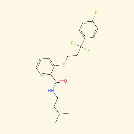 CC(C)CCNC(=O)c1ccccc1SCCC(F)(F)c1ccc(F)cc1